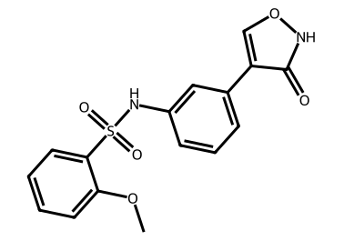 COc1ccccc1S(=O)(=O)Nc1cccc(-c2co[nH]c2=O)c1